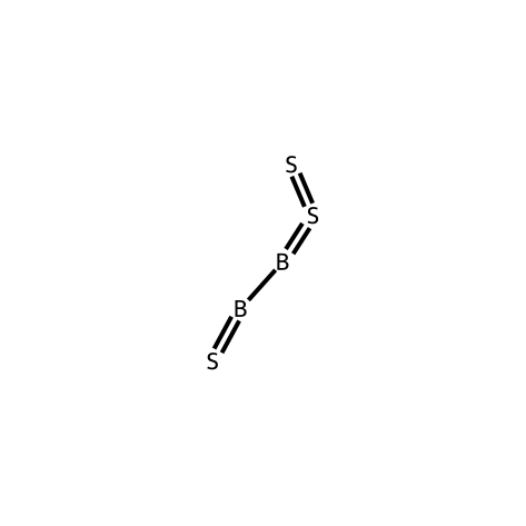 S=BB=S=S